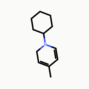 CC1=CCN(C2CCCCC2)C=C1